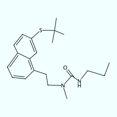 CCCNC(=O)N(C)CCc1cccc2ccc(SC(C)(C)C)cc12